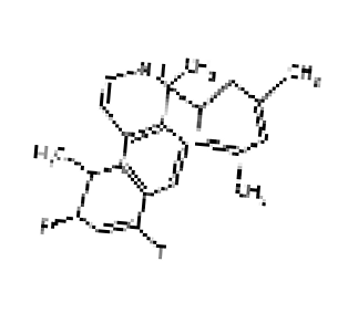 CC1=CC(C2(C)NC=Cc3c2ccc2c3C(C)[C@H](F)C=C2F)CC(C)=C1